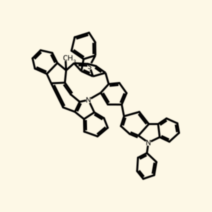 CC12c3ccccc3-c3cc4c5ccccc5n(c4cc31)-c1cc(-c3ccc4c(c3)c3ccccc3n4-c3ccccc3)ccc1-c1ccc2c2c1sc1ccccc12